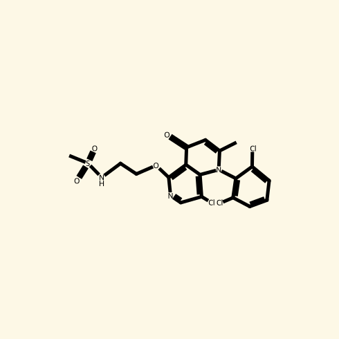 Cc1cc(=O)c2c(OCCNS(C)(=O)=O)ncc(Cl)c2n1-c1c(Cl)cccc1Cl